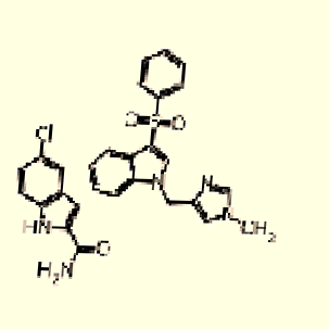 Cn1cnc(Cn2cc(S(=O)(=O)c3ccccc3)c3ccccc32)c1.NC(=O)c1cc2cc(Cl)ccc2[nH]1